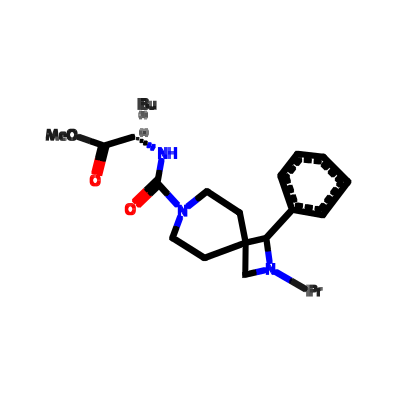 CC[C@H](C)[C@H](NC(=O)N1CCC2(CC1)CN(C(C)C)C2c1ccccc1)C(=O)OC